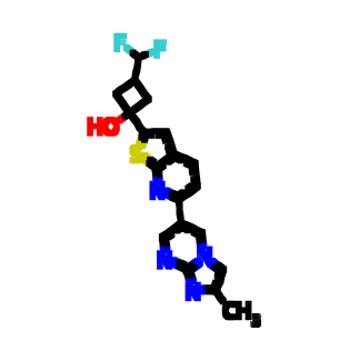 Cc1cn2cc(-c3ccc4cc(C5(O)CC(C(F)F)C5)sc4n3)cnc2n1